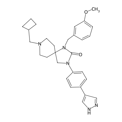 COc1cccc(CN2C(=O)N(c3ccc(-c4cn[nH]c4)cc3)CC23CCN(CC2CCC2)CC3)c1